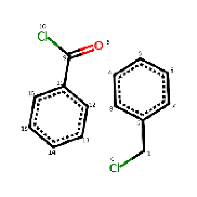 ClCc1ccccc1.O=C(Cl)c1ccccc1